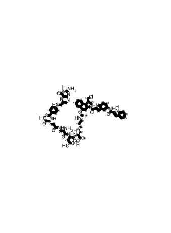 Nc1nc2ncc(CNc3ccc(C(=O)N[C@H](CCC(=O)NC[C@H](N)C(=O)NC(CC(=O)O)C(=O)N[C@@H](CSSCCNC(=O)Oc4cc5c(c6ccccc46)C(CCl)CN5C(=O)c4cc5cc(NC(=O)c6cc7ccccc7[nH]6)ccc5[nH]4)C(=O)O)C(=O)O)cc3)nc2c(=O)[nH]1